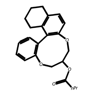 CCCC(=O)OC1COc2ccc3c(c2-c2c(ccc4c2CCCC4)OC1)CCCC3